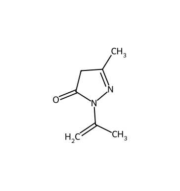 C=C(C)N1N=C(C)CC1=O